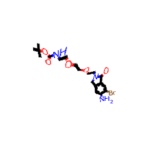 CC(C)(C)OC(=O)NCCOCCOCCN1Cc2cc(N)c(Br)cc2C1=O